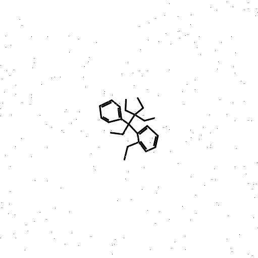 CCc1ccccc1C(CC)(c1ccccc1)C(CC)(CC)CC